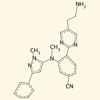 CN(c1cc(C#N)ccc1-c1ncc(CCN)cn1)c1cc(-c2ccccc2)nn1C